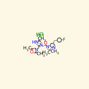 C[C@@H]1CN(CC(=O)N2CC(C)(C)c3ncc(Cc4ccc(F)cc4)cc32)[C@@H](CN2C[C@@H](C)OC[C@H]2C)CN1.Cl.Cl